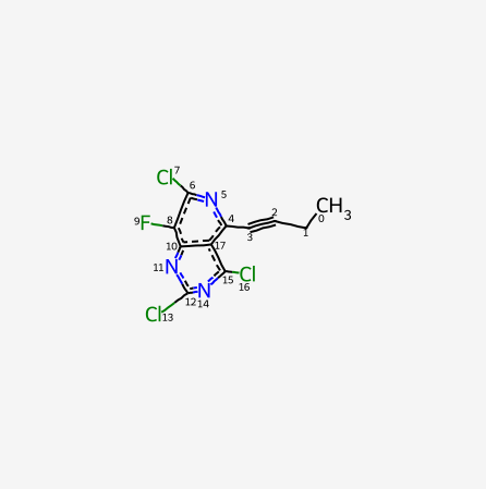 CCC#Cc1nc(Cl)c(F)c2nc(Cl)nc(Cl)c12